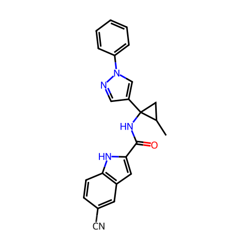 CC1CC1(NC(=O)c1cc2cc(C#N)ccc2[nH]1)c1cnn(-c2ccccc2)c1